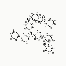 c1ccc(-c2cccc(N(c3ccc(-c4cccc5c4sc4ccccc45)cc3)c3ccc4oc5ccc6oc(-c7ccccc7)nc6c5c4c3)c2)cc1